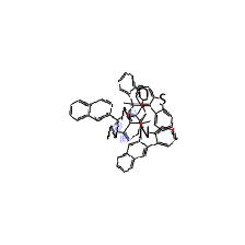 CC1C/C=C(C2=CC3(C)c4ccccc4OC3C=C2n2c3ccccc3c3cc4ccccc4cc32)/N=C(c2ccc3ccccc3c2)\N=C/1c1cccc2sc3ccccc3c12